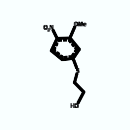 COc1cc(SCCO)ccc1[N+](=O)[O-]